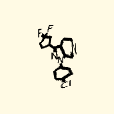 FC1(F)CCC(c2nn(-c3ccc(Cl)cc3)c3cnccc23)C1